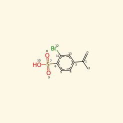 C=C(C)c1ccc(S(=O)(=O)O)c(Br)c1